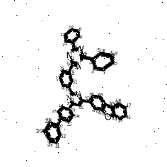 C1=CCC(c2nc(-c3ccccc3)nc(-c3cccc(-c4nc(-c5ccc(-c6ccccc6)cc5)cc(-c5ccc6c(c5)oc5ccccc56)n4)c3)n2)C=C1